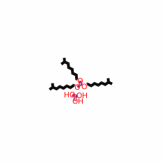 CC(C)CCCCCCOP(OCCCCCCC(C)C)OCCCCCCC(C)C.OP(O)O